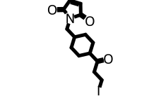 O=C(CCI)C1CCC(CN2C(=O)C=CC2=O)CC1